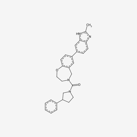 Cc1nc2ccc(-c3ccc4c(c3)CN(C(=O)N3CCC(c5ccccc5)C3)CCO4)cc2[nH]1